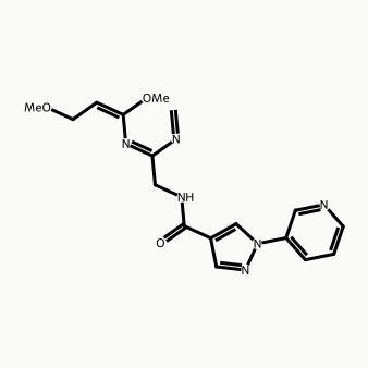 C=N/C(CNC(=O)c1cnn(-c2cccnc2)c1)=N\C(=C/COC)OC